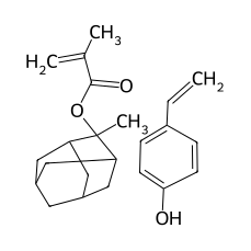 C=C(C)C(=O)OC1(C)C2CC3CC(C2)CC1C3.C=Cc1ccc(O)cc1